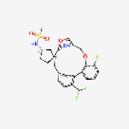 CS(=O)(=O)N[C@H]1CC[C@@]2(Cc3ccc(C(F)F)c(c3)-c3cccc(F)c3OCc3coc2n3)C1